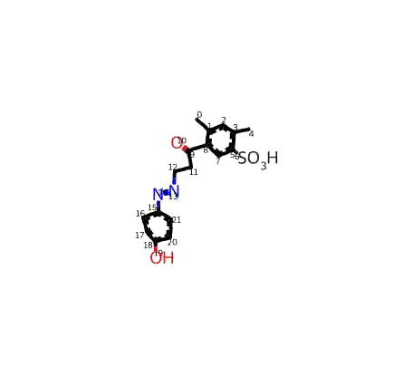 Cc1cc(C)c(S(=O)(=O)O)cc1C(=O)CCN=Nc1ccc(O)cc1